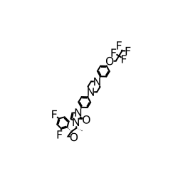 C[C@@H](n1ccn(-c2ccc(N3CCN(c4ccc(OCC(F)(F)C(F)F)cc4)CC3)cc2)c1=O)[C@]1(c2ccc(F)cc2F)CO1